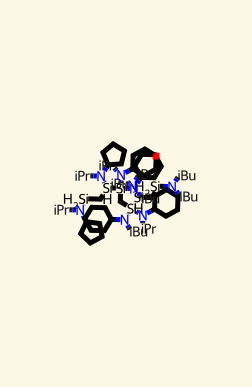 CCC(C)N([SiH2]C[SiH](N(C(C)CC)C(C)CC)[Si](C[Si](N(C(C)C)C1CCCCC1)(N(C(C)CC)C1CCCCC1)[SiH](C[SiH2]N(C(C)C)C1CCCC1)N(C(C)C)C1CCCC1)(N(C(C)C)C1CCCCC1)N(C(C)CC)C1CCCCC1)C(C)CC